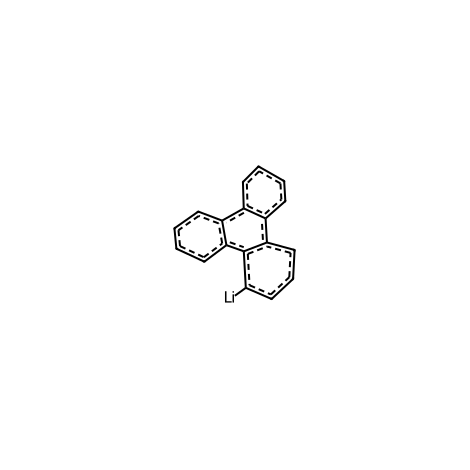 [Li][c]1cccc2c3ccccc3c3ccccc3c12